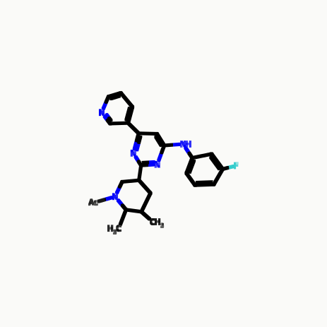 CC(=O)N1CC(c2nc(Nc3cccc(F)c3)cc(-c3cccnc3)n2)CC(C)C1C